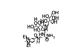 CCn1c(C)[n+](CC)c2ccc(C(=O)NCC[C@H](NCCCN(C[C@H](O)[C@@H](O)[C@H](O)[C@H](O)CO)C[C@H](O)[C@@H](O)[C@H](O)[C@H](O)CO)C(N)=O)cc21